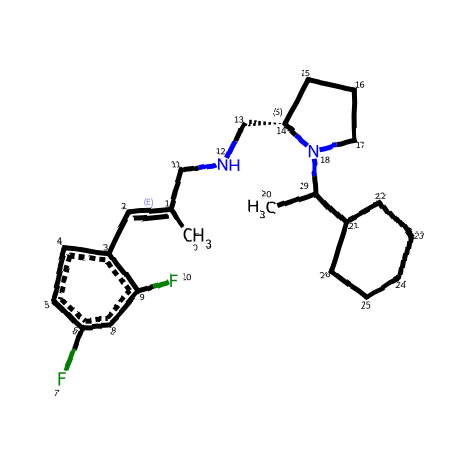 C/C(=C\c1ccc(F)cc1F)CNC[C@@H]1CCCN1C(C)C1CCCCC1